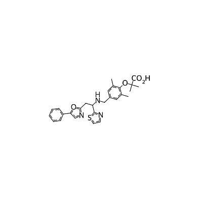 Cc1cc(CNC(Cc2ncc(-c3ccccc3)o2)c2nccs2)cc(C)c1OC(C)(C)C(=O)O